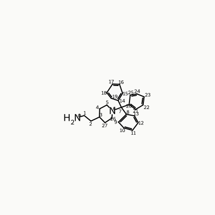 NCCC1CCN(C(c2ccccc2)(c2ccccc2)c2ccccc2)CC1